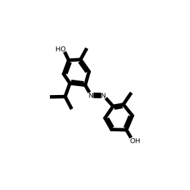 Cc1cc(/N=N/c2ccc(O)cc2C)c(C(C)C)cc1O